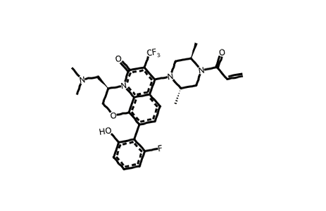 C=CC(=O)N1C[C@H](C)N(c2c(C(F)(F)F)c(=O)n3c4c(c(-c5c(O)cccc5F)ccc24)OC[C@H]3CN(C)C)C[C@H]1C